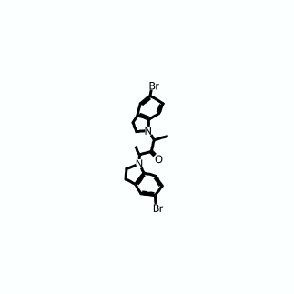 CC(C(=O)C(C)N1CCc2cc(Br)ccc21)N1CCc2cc(Br)ccc21